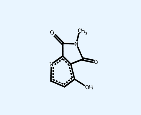 CN1C(=O)c2nccc(O)c2C1=O